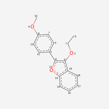 CCOc1c(-c2ccc(OC)cc2)oc2ccccc12